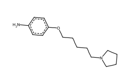 Nc1ccc(OCCCCCN2CCCC2)cc1